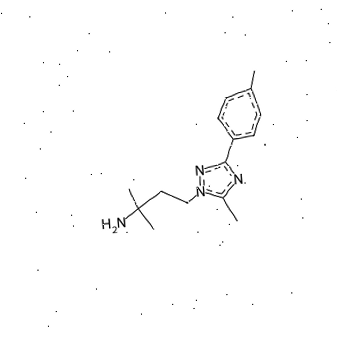 Cc1ccc(-c2nc(C)n(CCC(C)(C)N)n2)cc1